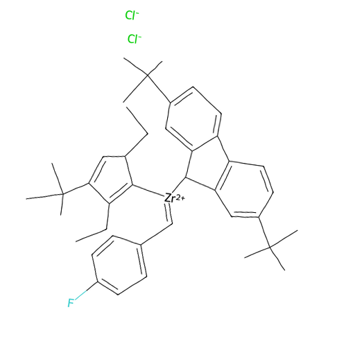 CCC1=[C](/[Zr+2](=[CH]\c2ccc(F)cc2)[CH]2c3cc(C(C)(C)C)ccc3-c3ccc(C(C)(C)C)cc32)C(CC)C=C1C(C)(C)C.[Cl-].[Cl-]